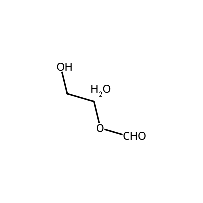 O.O=COCCO